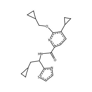 O=C(NC(CC1CC1)c1nccs1)c1ccc(C2CC2)c(OCC2CC2)n1